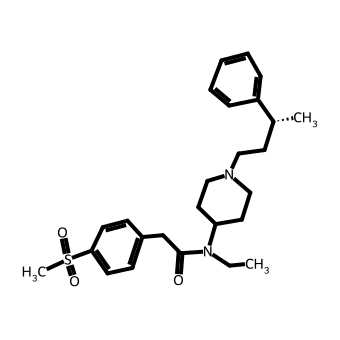 CCN(C(=O)Cc1ccc(S(C)(=O)=O)cc1)C1CCN(CC[C@@H](C)c2ccccc2)CC1